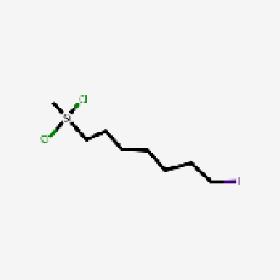 C[Si](Cl)(Cl)CCCCCCCI